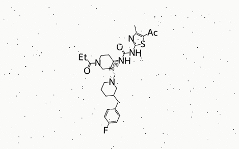 CCC(=O)N1CC[C@@H](NC(=O)Nc2nc(C)c(C(C)=O)s2)[C@H](CN2CCCC(Cc3ccc(F)cc3)C2)C1